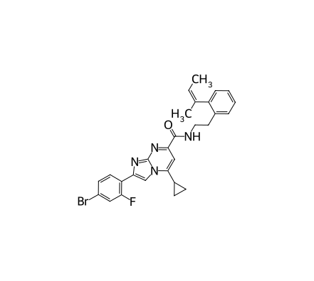 C/C=C(/C)c1ccccc1CCNC(=O)c1cc(C2CC2)n2cc(-c3ccc(Br)cc3F)nc2n1